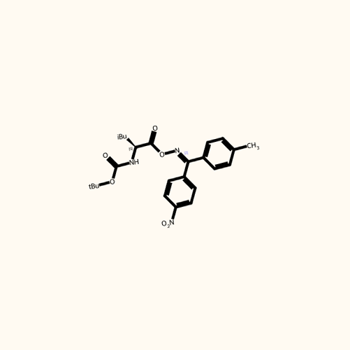 CCC(C)[C@H](NC(=O)OC(C)(C)C)C(=O)O/N=C(/c1ccc(C)cc1)c1ccc([N+](=O)[O-])cc1